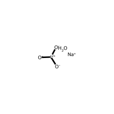 O.[Na+].[O-][I+2]([O-])[O-]